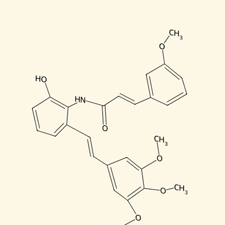 COc1cccc(/C=C/C(=O)Nc2c(O)cccc2C=Cc2cc(OC)c(OC)c(OC)c2)c1